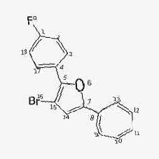 Fc1ccc(-c2oc(-c3ccccc3)cc2Br)cc1